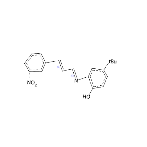 CC(C)(C)c1ccc(O)c(/N=C/C=C/c2cccc([N+](=O)[O-])c2)c1